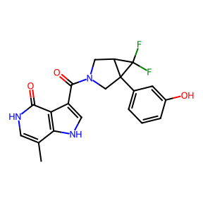 Cc1c[nH]c(=O)c2c(C(=O)N3CC4C(F)(F)C4(c4cccc(O)c4)C3)c[nH]c12